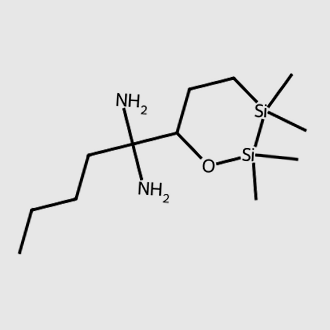 CCCCC(N)(N)C1CC[Si](C)(C)[Si](C)(C)O1